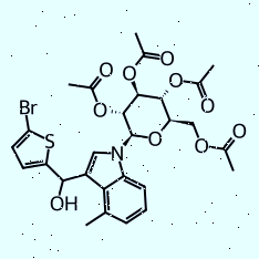 CC(=O)OC[C@H]1O[C@@H](n2cc(C(O)c3ccc(Br)s3)c3c(C)cccc32)[C@H](OC(C)=O)[C@@H](OC(C)=O)[C@@H]1OC(C)=O